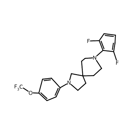 Fc1cccc(F)c1N1CCC2(CCN(c3ccc(OC(F)(F)F)cc3)C2)CC1